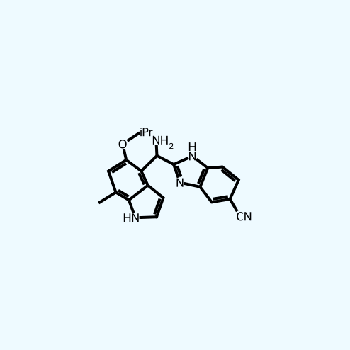 Cc1cc(OC(C)C)c(C(N)c2nc3cc(C#N)ccc3[nH]2)c2cc[nH]c12